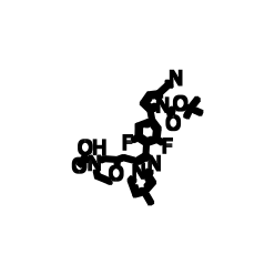 Cc1ccn2c(CC3CN(C(=O)O)CCO3)c(-c3c(F)cc(-c4ccc(C#N)n4C(=O)OC(C)(C)C)cc3F)nc2c1